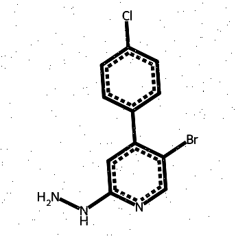 NNc1cc(-c2ccc(Cl)cc2)c(Br)cn1